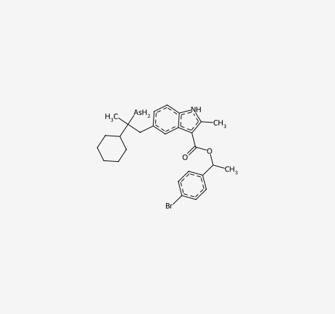 Cc1[nH]c2ccc(CC(C)([AsH2])C3CCCCC3)cc2c1C(=O)OC(C)c1ccc(Br)cc1